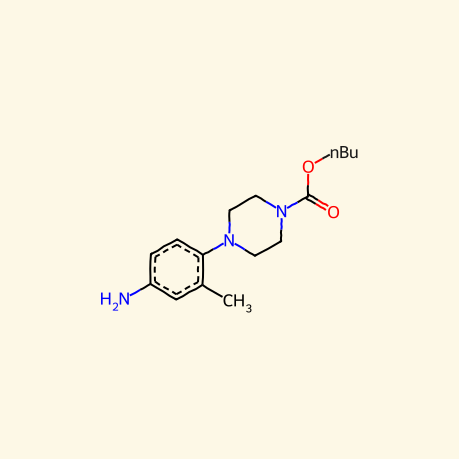 CCCCOC(=O)N1CCN(c2ccc(N)cc2C)CC1